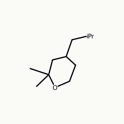 CC(C)CC1CCOC(C)(C)C1